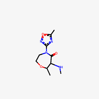 CNC1C(=O)N(c2noc(C)n2)CCOC1C